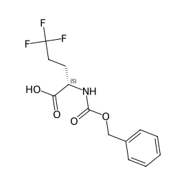 O=C(N[C@@H](CCC(F)(F)F)C(=O)O)OCc1ccccc1